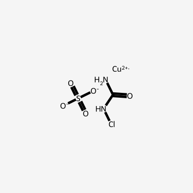 NC(=O)NCl.O=S(=O)([O-])[O-].[Cu+2]